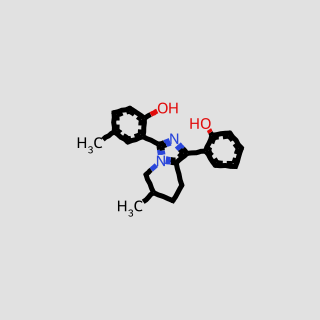 Cc1ccc(O)c(-c2nc(-c3ccccc3O)c3n2CC(C)CC3)c1